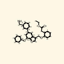 CCOC(=O)Cc1ccccc1OCc1coc2c(Oc3ccccc3)cc(-c3cccc(CN)c3)cc12